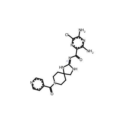 Nc1nc(N)c(C(=O)/N=C2\NCC3(CCN(C(=O)c4ccncc4)CC3)N2)nc1Cl